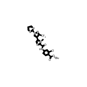 Cn1c(-c2cn(-c3ncccn3)nc2C(F)(F)F)cnc1C(=O)Nc1ccc(C(=O)OC(C)(C)C)c(Cl)c1